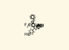 Cl.Cl.OC1CCC(C(CN2CCNCC2)c2ccc(OCc3ccccc3)c(C(F)(F)F)c2)CC1